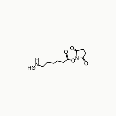 O=C(CCCCCNO)ON1C(=O)CCC1=O